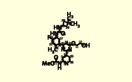 COC(=O)Nc1cc(-c2nc(OCCO)cc(-c3cc(NC(=O)NC4CC(C)(C)C4)c(F)cc3C)n2)ccn1